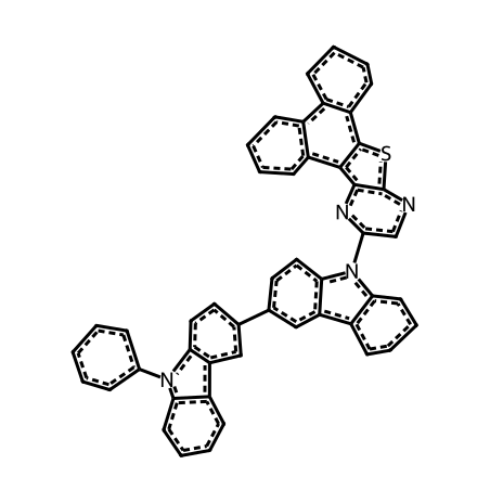 c1ccc(-n2c3ccccc3c3cc(-c4ccc5c(c4)c4ccccc4n5-c4cnc5sc6c7ccccc7c7ccccc7c6c5n4)ccc32)cc1